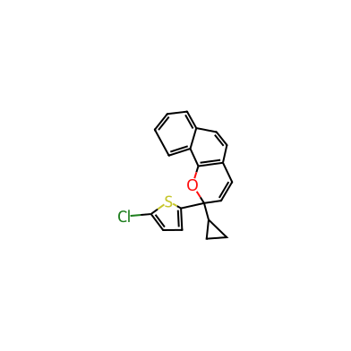 Clc1ccc(C2(C3CC3)C=Cc3ccc4ccccc4c3O2)s1